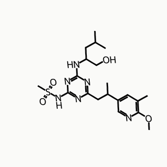 COc1ncc(C(C)Cc2nc(NC(CO)CC(C)C)nc(NS(C)(=O)=O)n2)cc1C